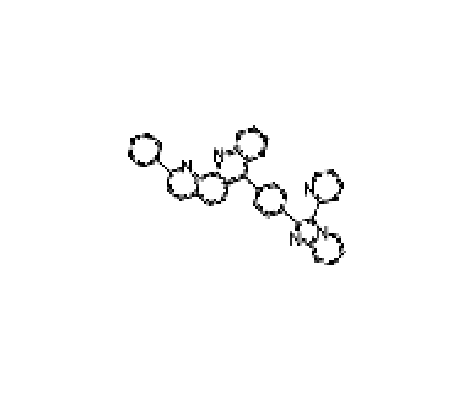 c1ccc(-c2ccc3ccc4c(-c5ccc(-c6nc7ccccn7c6-c6ccccn6)cc5)c5ccccc5nc4c3n2)cc1